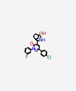 O=c1c(C2=C3CCC(O)(CN2)C3)cc(-c2ccc(Cl)cc2)nn1-c1cccc(F)c1